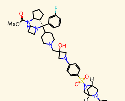 C=CC(=O)N1C[C@@H]2C[C@H]1CN2S(=O)(=O)c1ccc(N2CC(O)(CN3CCC(C(c4cccc(F)c4)([C@H]4CCC[C@@H]4NC(=O)OC)N4CCC4)CC3)C2)cc1